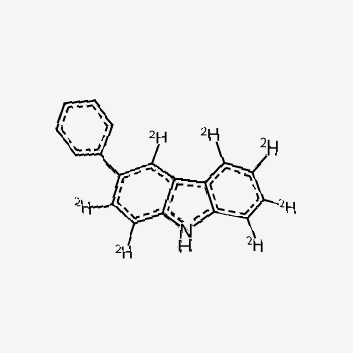 [2H]c1c([2H])c([2H])c2c([nH]c3c([2H])c([2H])c(-c4ccccc4)c([2H])c32)c1[2H]